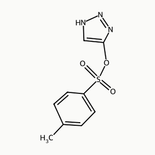 Cc1ccc(S(=O)(=O)Oc2c[nH]nn2)cc1